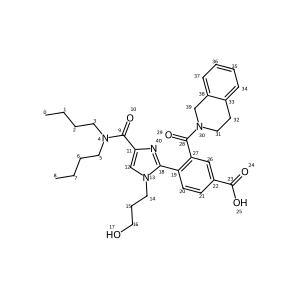 CCCCN(CCCC)C(=O)c1cn(CCCO)c(-c2ccc(C(=O)O)cc2C(=O)N2CCc3ccccc3C2)n1